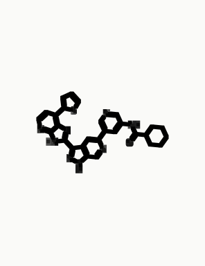 O=C(Nc1cncc(-c2cc3c(-c4nc5c(-c6cccs6)ccnc5[nH]4)n[nH]c3cn2)c1)C1CCCCC1